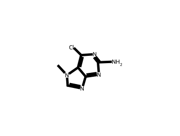 Cn1cnc2nc(N)nc(Cl)c21